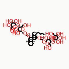 CCC[C@@H](C)[C@H]1CC[C@H]2[C@@H]3[C@H](OCOC[C@@H]4OC(CO)[C@@H](O[C@H]5OC(CO)[C@@H](O)[C@H](O)C5O)[C@H](O)C4O)C[C@@H]4CCCC[C@]4(C)[C@H]3C[C@H](OCCO[C@@H]3OC(CO)[C@@H](O[C@H]4OC(CO)[C@@H](O)[C@H](O)C4O)[C@H](O)C3O)[C@]12C